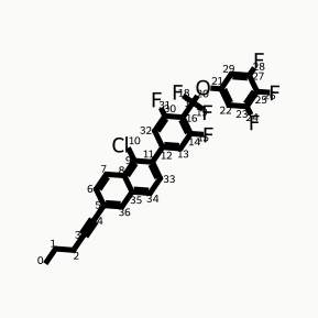 CCCC#Cc1ccc2c(Cl)c(-c3cc(F)c(C(F)(F)Oc4cc(F)c(F)c(F)c4)c(F)c3)ccc2c1